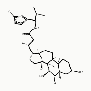 CC(C)[C@@H](NC(=O)C[C@@H](C)[C@H]1CC[C@H]2[C@@H]3[C@H](O)[C@H](O)[C@@H]4C[C@H](O)CC[C@]4(C)[C@H]3CC[C@]12C)c1ccc(Cl)s1